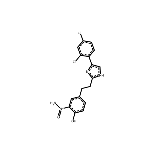 N[N+](=O)c1cc(C[CH]c2nc(-c3ccc(Cl)cc3Cl)c[nH]2)ccc1O